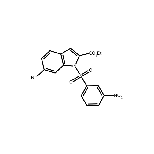 CCOC(=O)c1cc2ccc(C#N)cc2n1S(=O)(=O)c1cccc([N+](=O)[O-])c1